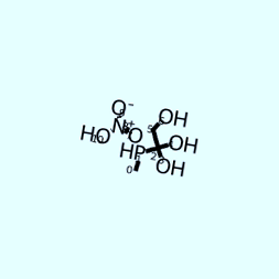 CPC(O)(O)CO.O=[N+]([O-])O